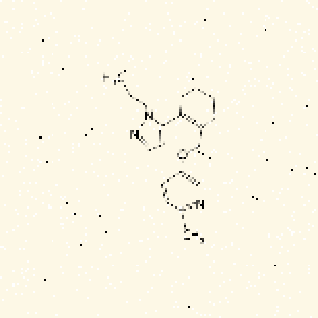 CCCn1nccc1C1=C(COc2ccc(C)nc2)CCCC1